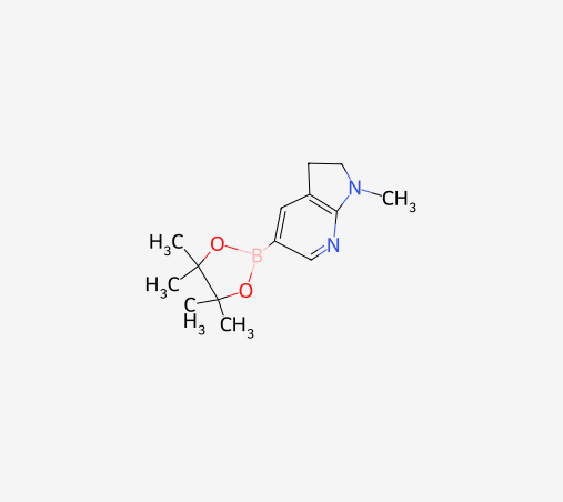 CN1CCc2cc(B3OC(C)(C)C(C)(C)O3)cnc21